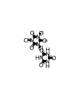 O=c1[nH]c(=O)[nH]c(=O)[nH]1.O=c1n(Cl)c(=O)n(Cl)c(=O)n1Cl